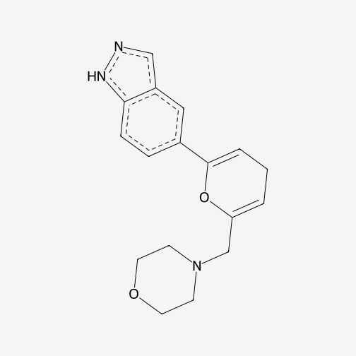 C1=C(CN2CCOCC2)OC(c2ccc3[nH]ncc3c2)=CC1